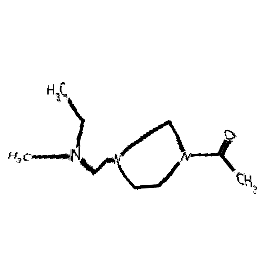 CCN(C)CN1CCN(C(C)=O)CC1